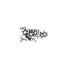 CC[C@@]12C[C@](C)(COCc3cc4ccccc4s3)C(OC)[C@H]3Oc4c(O)ccc5c4[C@]31CCN(CC1CC1)[C@H]2C5